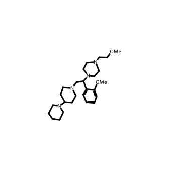 COCCN1CCN(C(CN2CCC(N3CCCCC3)CC2)c2ccccc2OC)CC1